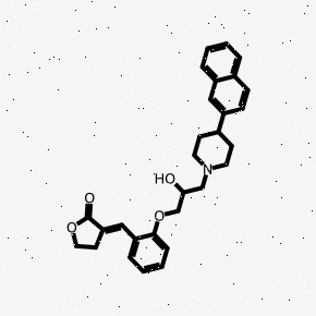 O=C1OCCC1=Cc1ccccc1OCC(O)CN1CCC(c2ccc3ccccc3c2)CC1